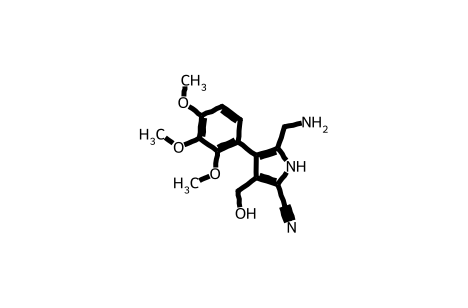 COc1ccc(-c2c(CN)[nH]c(C#N)c2CO)c(OC)c1OC